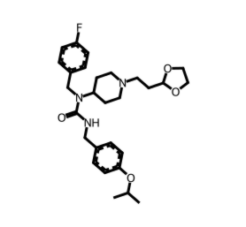 CC(C)Oc1ccc(CNC(=O)N(Cc2ccc(F)cc2)C2CCN(CCC3OCCO3)CC2)cc1